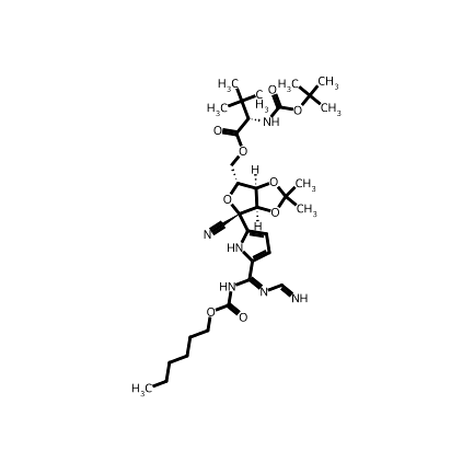 CCCCCCOC(=O)N/C(=N/C=N)c1ccc([C@]2(C#N)O[C@H](COC(=O)[C@@H](NC(=O)OC(C)(C)C)C(C)(C)C)[C@H]3OC(C)(C)O[C@H]32)[nH]1